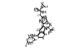 CN1CCC(Nc2cccc3c2cc(-c2nc(CNC(=O)C4CC4)no2)n3C(F)C(F)F)CC1